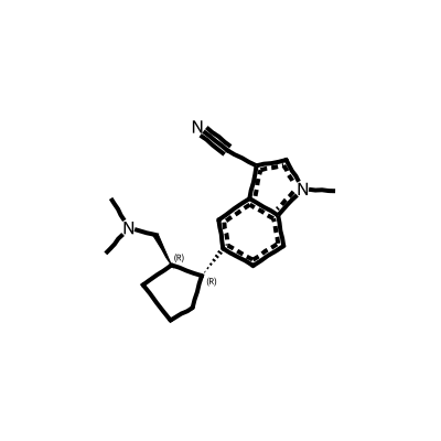 CN(C)C[C@@H]1CCC[C@H]1c1ccc2c(c1)c(C#N)cn2C